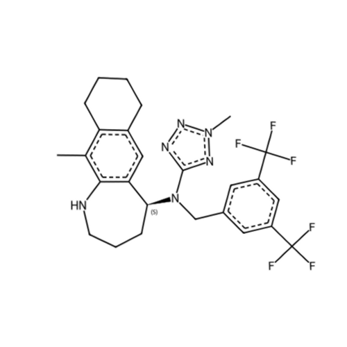 Cc1c2c(cc3c1NCCC[C@@H]3N(Cc1cc(C(F)(F)F)cc(C(F)(F)F)c1)c1nnn(C)n1)CCCC2